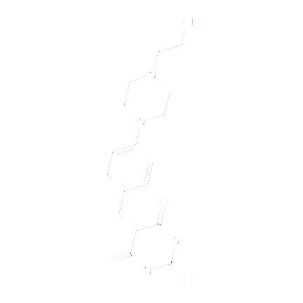 O=C1NC(=O)C(=Cc2ccc(N3CCN(CCO)CC3)cc2)C(=O)N1